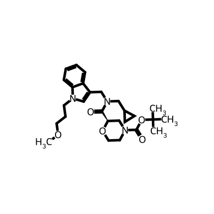 COCCCn1cc(CN(CC2CC2)C(=O)[C@H]2CN(C(=O)OC(C)(C)C)CCO2)c2ccccc21